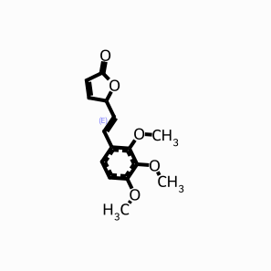 COc1ccc(/C=C/C2C=CC(=O)O2)c(OC)c1OC